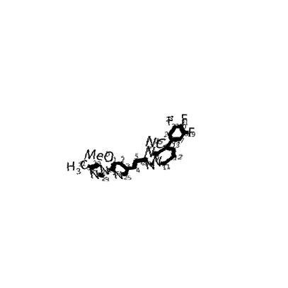 COc1cc(/C=C/c2nc3n(n2)CCC[C@]3(C#N)c2cc(F)c(F)c(F)c2)cnc1-n1cnc(C)c1